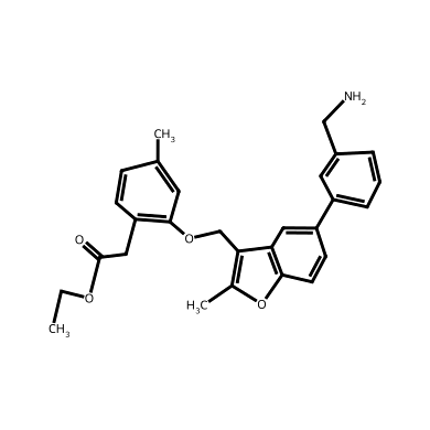 CCOC(=O)Cc1ccc(C)cc1OCc1c(C)oc2ccc(-c3cccc(CN)c3)cc12